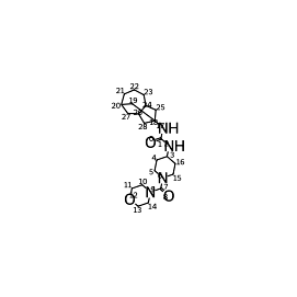 O=C(NC1CCN(C(=O)N2CCOCC2)CC1)NC12CC3CCCC(C1)C(C3)C2